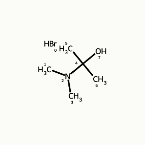 Br.CN(C)C(C)(C)O